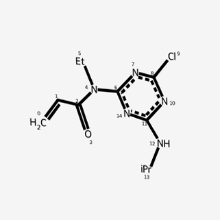 C=CC(=O)N(CC)c1nc(Cl)nc(NC(C)C)n1